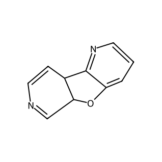 C1=CC2c3ncccc3OC2C=N1